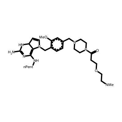 CCCCCNC1=C2C(C=CN2Cc2ccc(CN3CCN(C(=O)CCOCCNC)CC3)cc2OC)NC(N)=N1